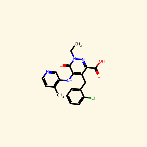 CCn1nc(C(=O)O)c(Cc2ccccc2Cl)c(Nc2cnccc2C)c1=O